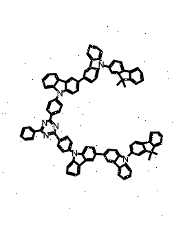 CC1(C)c2ccccc2-c2ccc(-n3c4ccccc4c4cc(-c5ccc6c(c5)c5ccccc5n6-c5ccc(-c6nc(-c7ccccc7)nc(-c7ccc(-n8c9ccccc9c9cc(-c%10ccc%11c(c%10)c%10ccccc%10n%11-c%10ccc%11c(c%10)C(C)(C)c%10ccccc%10-%11)ccc98)cc7)n6)cc5)ccc43)cc21